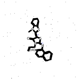 C=CCN1C(=O)/C(=C2/Sc3ccccc3N2C)S/C1=N/c1c(O)ccc2ccccc12